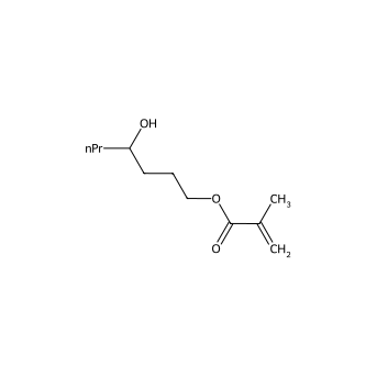 C=C(C)C(=O)OCCCC(O)CCC